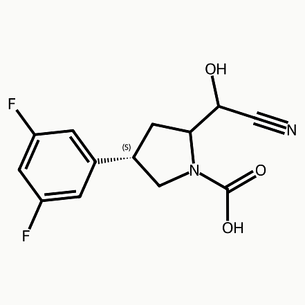 N#CC(O)C1C[C@@H](c2cc(F)cc(F)c2)CN1C(=O)O